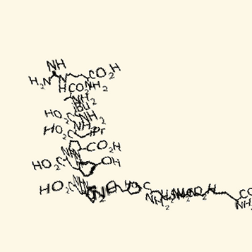 CC(C)C[C@H](N)C(=O)O.CC[C@H](C)[C@H](N)C(=O)O.CSCC[C@H](N)C(=O)O.C[C@H](N)C(=O)O.N=C(N)NCCC[C@H](N)C(=O)O.NCC(=O)O.NCCCC[C@H](N)C(=O)O.N[C@@H](Cc1c[nH]cn1)C(=O)O.N[C@@H](Cc1ccc(O)cc1)C(=O)O.O=C(O)CCc1ccccc1.O=C(O)[C@@H]1CCCN1